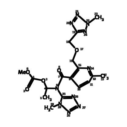 COC(=O)OC(C)N(C(=O)c1ccc(C(F)(F)F)nc1COCc1nnn(C)n1)c1nnnn1C